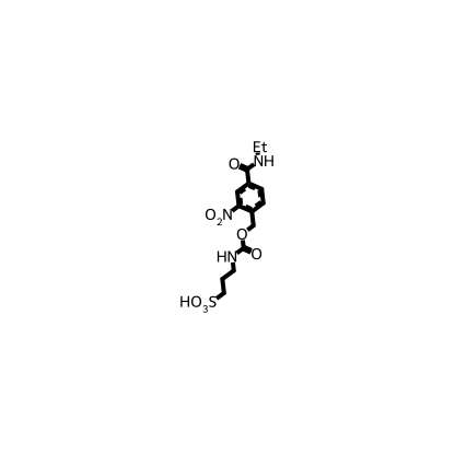 CCNC(=O)c1ccc(COC(=O)NCCCS(=O)(=O)O)c([N+](=O)[O-])c1